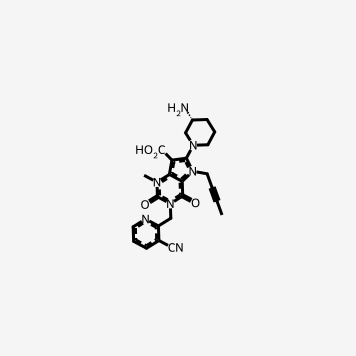 CC#CCn1c(N2CCC[C@@H](N)C2)c(C(=O)O)c2c1c(=O)n(Cc1ncccc1C#N)c(=O)n2C